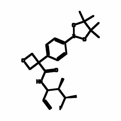 C=CC(NC(=O)C1(c2ccc(B3OC(C)(C)C(C)(C)O3)cc2)COC1)[C@@H](C)[C@@H](C)F